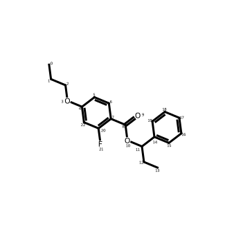 CCCOc1ccc(C(=O)OC(CC)c2ccccc2)c(F)c1